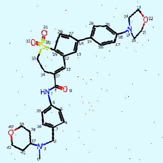 CN(Cc1ccc(NC(=O)C2=Cc3cc(-c4ccc(N5CCOCC5)cc4)ccc3S(=O)(=O)CC2)cc1)C1CCOCC1